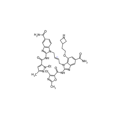 CCc1nc(C)oc1C(=O)Nc1nc2cc(C(N)=O)cc(OCCC3CNC3)c2n1C/C=C/Cn1c(NC(=O)c2cc(C)nn2CC)nc2cc(C(N)=O)ccc21